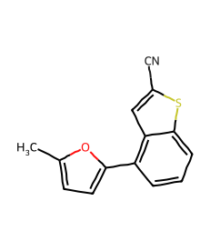 Cc1ccc(-c2cccc3sc(C#N)cc23)o1